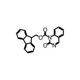 O=C(OCC1c2ccccc2-c2ccccc21)n1c(=O)ncc2ccccc21